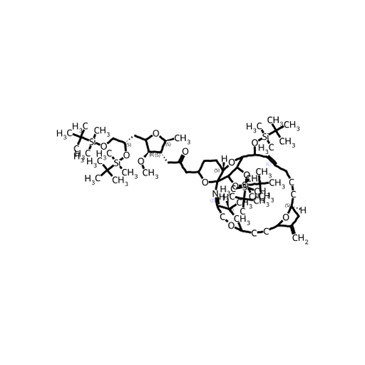 C=C1C[C@@H]2CCC/C=C/C(O[Si](C)(C)C(C)(C)C)C3O[C@H]4CCC(CC(=O)C[C@H]5[C@H](C)OC(C[C@@H](CO[Si](C)(C)C(C)(C)C)O[Si](C)(C)C(C)(C)C)[C@@H]5OC)OC4(/N=C4\COC(CCC1O2)C[C@H]4C)C(O[Si](C)(C)C(C)(C)C)C3O[Si](C)(C)C(C)(C)C